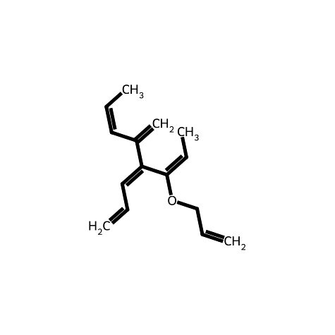 C=C/C=C(C(=C)/C=C\C)\C(=C/C)OCC=C